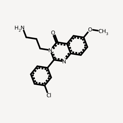 COc1ccc2nc(-c3cccc(Cl)c3)n(CCCN)c(=O)c2c1